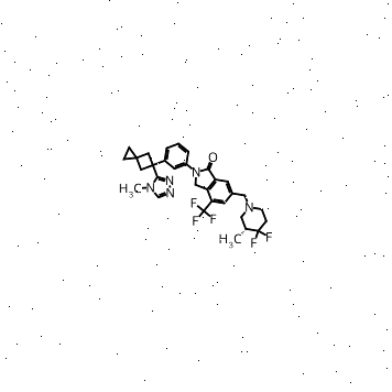 C[C@@H]1CN(Cc2cc3c(c(C(F)(F)F)c2)CN(c2cccc(C4(c5nncn5C)CC5(CC5)C4)c2)C3=O)CCC1(F)F